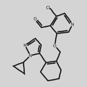 O=Cc1c(Cl)cncc1OCC1=C(c2ccnn2C2CC2)CCCC1